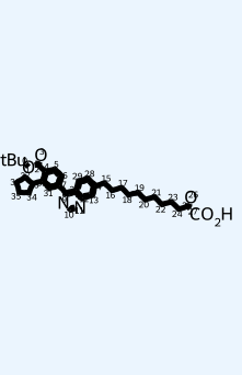 CC(C)(C)OC(=O)c1ccc(-c2ncnc3cc(CCCCCCCCCCC(=O)C(=O)O)ccc23)cc1C1CCCC1